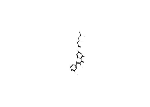 O=C(Oc1cc(O)c2c(=O)c(O)c(-c3ccc(O)c(O)c3)oc2c1)[C@H](O)[C@@H](O)[C@H](O)[C@H](O)CO